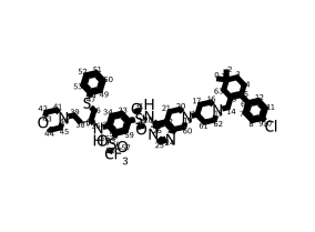 CC1(C)CCC(c2ccc(Cl)cc2)=C(CN2CCC(N3CCc4c(ncnc4NS(=O)(=O)c4ccc(N[C@H](CCN5CCOCC5)CSc5ccccc5)c(S(=O)(=O)C(F)(F)F)c4)C3)CC2)C1